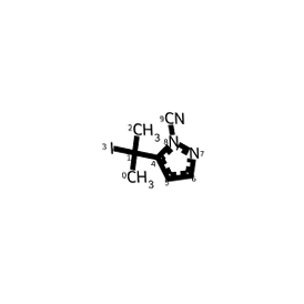 CC(C)(I)c1ccnn1C#N